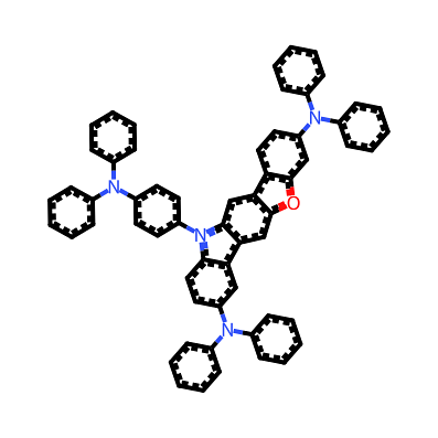 c1ccc(N(c2ccccc2)c2ccc(-n3c4ccc(N(c5ccccc5)c5ccccc5)cc4c4cc5oc6cc(N(c7ccccc7)c7ccccc7)ccc6c5cc43)cc2)cc1